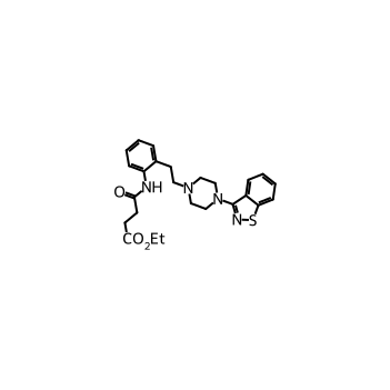 CCOC(=O)CCC(=O)Nc1ccccc1CCN1CCN(c2nsc3ccccc23)CC1